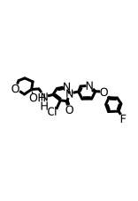 O=c1c(Cl)c(NC[C@]2(O)CCCOC2)cnn1-c1ccc(Oc2ccc(F)cc2)nc1